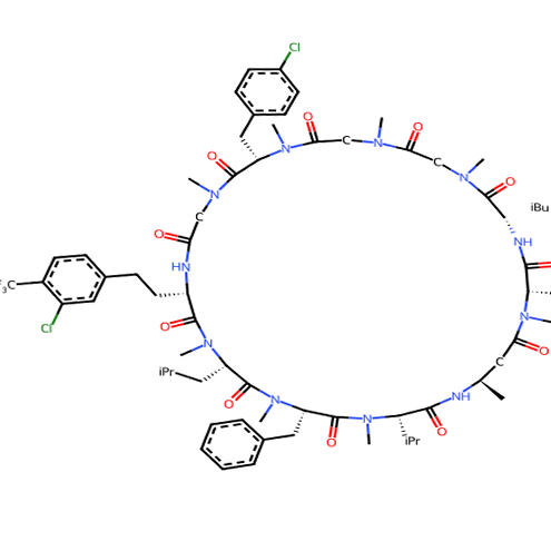 CC[C@H](C)[C@@H]1NC(=O)[C@H](C)N(C)C(=O)C[C@@H](C)NC(=O)[C@H](C(C)C)N(C)C(=O)[C@H](Cc2ccccc2)N(C)C(=O)[C@H](CC(C)C)N(C)C(=O)[C@H](CCc2ccc(C(F)(F)F)c(Cl)c2)NC(=O)CN(C)C(=O)[C@H](Cc2ccc(Cl)cc2)N(C)C(=O)CN(C)C(=O)CN(C)C1=O